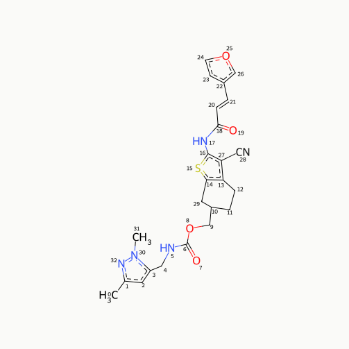 Cc1cc(CNC(=O)OCC2CCc3c(sc(NC(=O)C=Cc4ccoc4)c3C#N)C2)n(C)n1